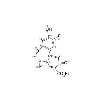 CCOC(=O)c1cn2c(cc1=O)-c1cc(Cl)c(O)cc1OCC2C(C)C